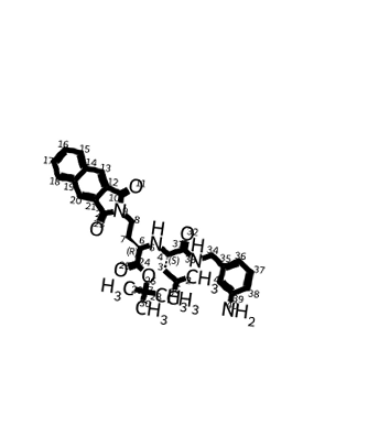 CC(C)C[C@H](N[C@H](CCN1C(=O)c2cc3ccccc3cc2C1=O)C(=O)OC(C)(C)C)C(=O)NCc1cccc(N)c1